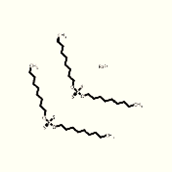 CCCCCCCCCOP(=S)([S-])OCCCCCCCCC.CCCCCCCCCOP(=S)([S-])OCCCCCCCCC.[Ba+2]